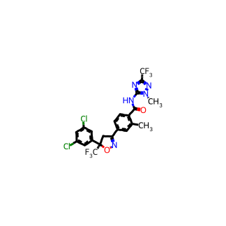 Cc1cc(C2=NOC(c3cc(Cl)cc(Cl)c3)(C(F)(F)F)C2)ccc1C(=O)Nc1nc(C(F)(F)F)nn1C